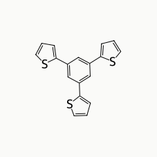 c1csc(-c2cc(-c3cccs3)cc(-c3cccs3)c2)c1